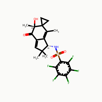 CC1=C2C(=CC(C)(C)[C@H]2NS(=O)(=O)c2c(F)c(F)c(F)c(F)c2F)C(=O)[C@](C)(O)C12CC2